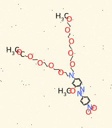 COCCOCCOCCOCCOCCN(CCOCCOCCOCCOCCOC)c1ccc(/N=N/c2ccc([N+](=O)[O-])cc2)c(OC)c1